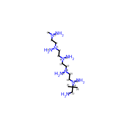 CN(N)CCN(N)CCN(N)CCN(N)CCN(N)C(C)(C)CN